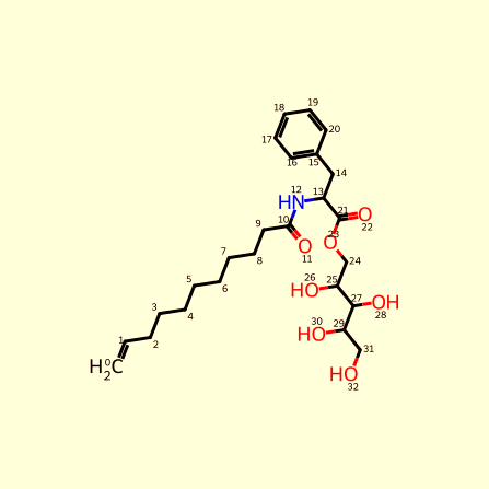 C=CCCCCCCCCC(=O)NC(Cc1ccccc1)C(=O)OCC(O)C(O)C(O)CO